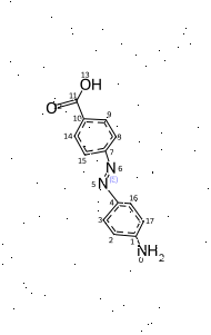 Nc1ccc(/N=N/c2ccc(C(=O)O)cc2)cc1